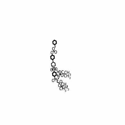 CC(C)(C)OC(=O)CN1CN(C(=O)OC(C)(C)C)c2cc(S(=O)(=O)N3CCC(c4ccc(OC(=O)OCc5ccccc5)cc4)CC3)ccc2C1=O